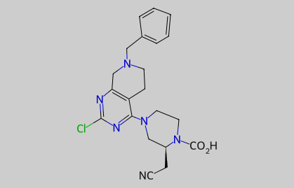 N#CC[C@H]1CN(c2nc(Cl)nc3c2CCN(Cc2ccccc2)C3)CCN1C(=O)O